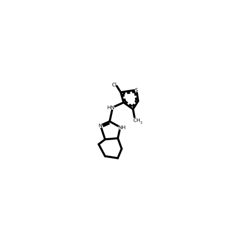 Cc1csc(Cl)c1NC1=NC2CCCCC2N1